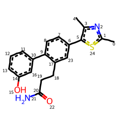 Cc1nc(C)c(-c2ccc(-c3cccc(O)c3)c(CCC(N)=O)c2)s1